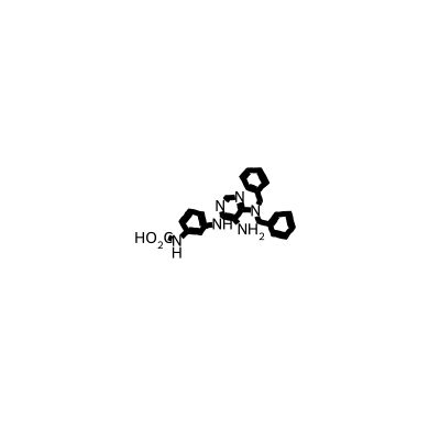 Nc1c(Nc2cccc(NC(=O)O)c2)ncnc1N(Cc1ccccc1)Cc1ccccc1